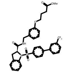 COC(=O)CCCOc1cccc(CNC(=O)[C@@H]2Cc3ccccc3N2S(=O)(=O)c2ccc(-c3cccc(C(F)(F)F)c3)cc2)c1